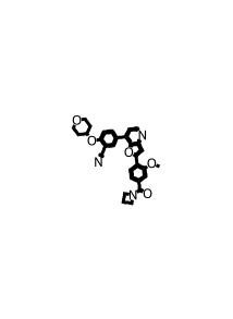 COc1cc(C(=O)N2CCC2)ccc1-c1cc2nccc(-c3ccc(OC4CCOCC4)c(C#N)c3)c2o1